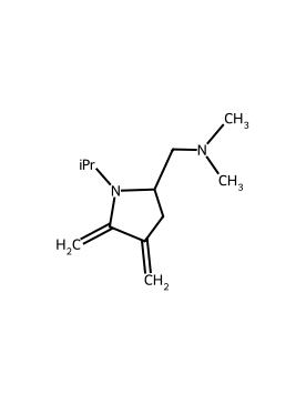 C=C1CC(CN(C)C)N(C(C)C)C1=C